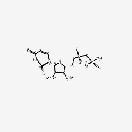 CO[C@@H]1[C@H](OC)[C@@H](CCS(=O)(=O)CP(=O)(O)O)O[C@H]1n1ccc(=O)[nH]c1=O